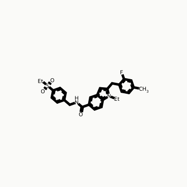 CCn1c(Cc2ccc(C)cc2F)cc2cc(C(=O)NCc3ccc(S(=O)(=O)CC)cc3)ccc21